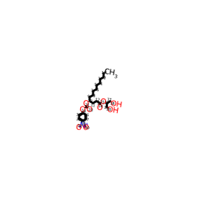 CCCCCCCCCCC(CCC(=O)OC(CO)CO)OC(=O)Oc1ccc([N+](=O)[O-])cc1